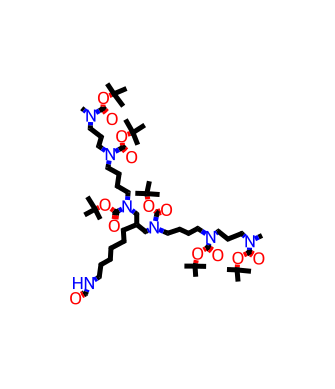 CN(CCCN(CCCCN(CC(CCCCCCNC=O)CN(CCCCN(CCCN(C)C(=O)OC(C)(C)C)C(=O)OC(C)(C)C)C(=O)OC(C)(C)C)C(=O)OC(C)(C)C)C(=O)OC(C)(C)C)C(=O)OC(C)(C)C